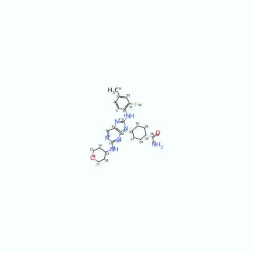 Cc1ccc(Nc2nc3cnc(NC4CCOCC4)nc3n2[C@H]2CC[C@@H](C(N)=O)CC2)c(F)c1